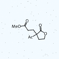 COC(=O)CCC1(C(C)=O)CCOC1=O